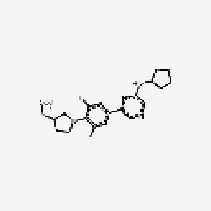 O=C(O)CC1CCN(c2c(F)cc(-c3cncc(NC4CCCC4)n3)cc2F)C1